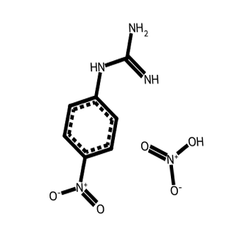 N=C(N)Nc1ccc([N+](=O)[O-])cc1.O=[N+]([O-])O